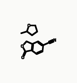 CC1CCCO1.N#Cc1ccc2c(c1)COC2=O